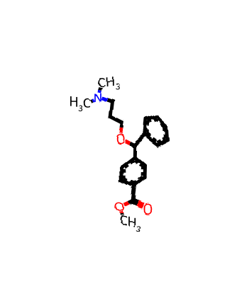 COC(=O)c1ccc(C(OCCCN(C)C)c2ccccc2)cc1